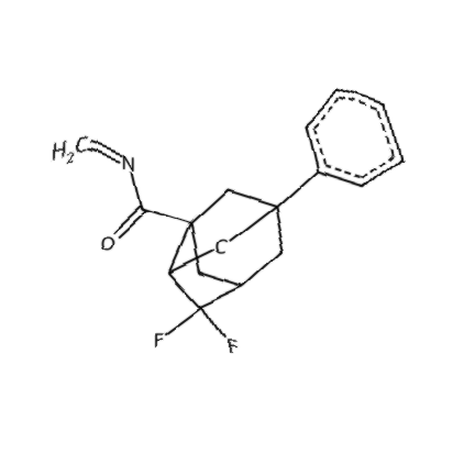 C=NC(=O)C12CC3CC(c4ccccc4)(CC1C3(F)F)C2